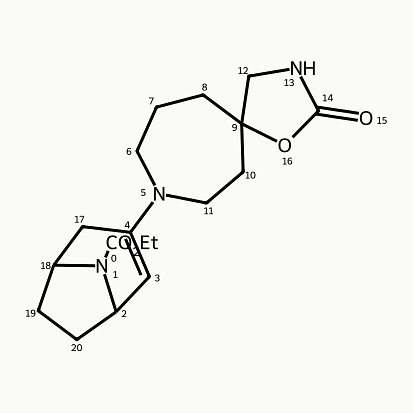 CCOC(=O)N1C2C=C(N3CCCC4(CC3)CNC(=O)O4)CC1CC2